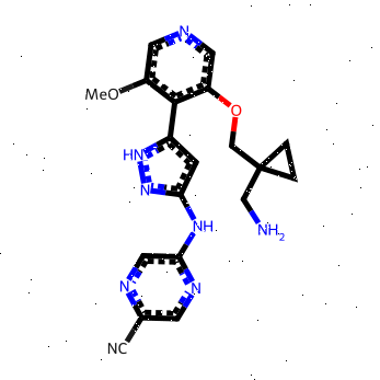 COc1cncc(OCC2(CN)CC2)c1-c1cc(Nc2cnc(C#N)cn2)n[nH]1